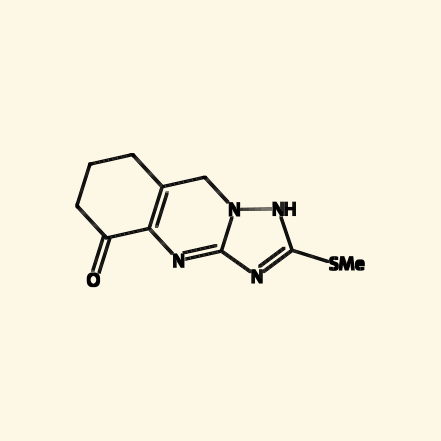 CSC1=NC2=NC3=C(CCCC3=O)CN2N1